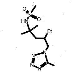 CCC(Cn1nnnc1C)CC(C)(C)NS(C)(=O)=O